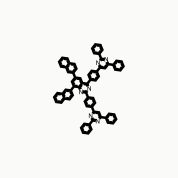 c1ccc(-c2cc(-c3ccc(-c4nc(-c5ccc(-c6cc(-c7ccccc7)nc(-c7ccccc7)n6)cc5)c5cc(-c6ccc7ccccc7c6)cc(-c6ccc7ccccc7c6)c5n4)cc3)nc(-c3ccccc3)n2)cc1